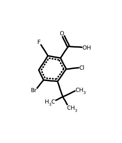 CC(C)(C)c1c(Br)cc(F)c(C(=O)O)c1Cl